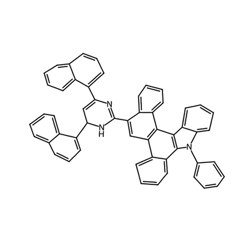 C1=C(c2cccc3ccccc23)N=C(c2cc3c4ccccc4c4c(c5ccccc5n4-c4ccccc4)c3c3ccccc23)NC1c1cccc2ccccc12